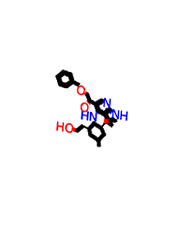 CC[C@H]1CC(C)C[C@@H](CCO)[C@@H]1Nc1c(C(=O)COCc2ccccc2)cnc2[nH]ccc12